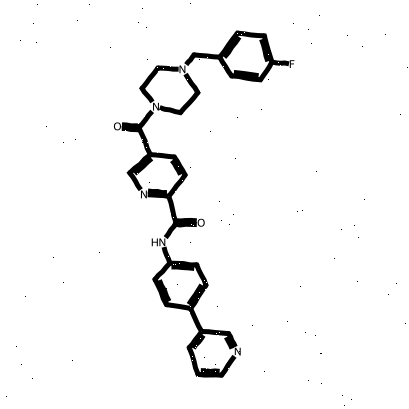 O=C(Nc1ccc(-c2cccnc2)cc1)c1ccc(C(=O)N2CCN(Cc3ccc(F)cc3)CC2)cn1